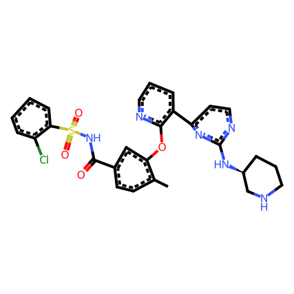 Cc1ccc(C(=O)NS(=O)(=O)c2ccccc2Cl)cc1Oc1ncccc1-c1ccnc(N[C@H]2CCCNC2)n1